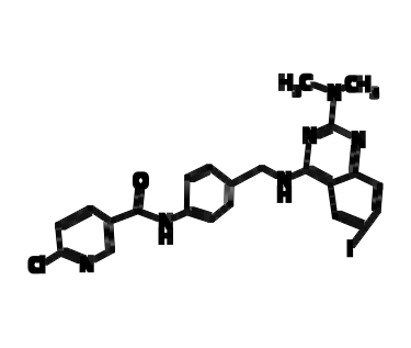 CN(C)c1nc(NCc2ccc(NC(=O)c3ccc(Cl)nc3)cc2)c2cc(I)ccc2n1